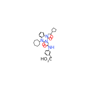 O=C(O)Cc1cccc(NC(=O)CN2C(=O)N(CC(=O)C3CCCC3)c3ccccc3N(C3CCCCCC3)C2=O)c1